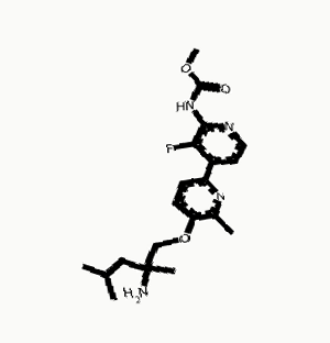 COC(=O)Nc1nccc(-c2ccc(OCC(C)(N)CC(C)C)c(C)n2)c1F